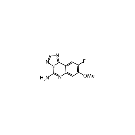 COc1cc2nc(N)n3ncnc3c2cc1F